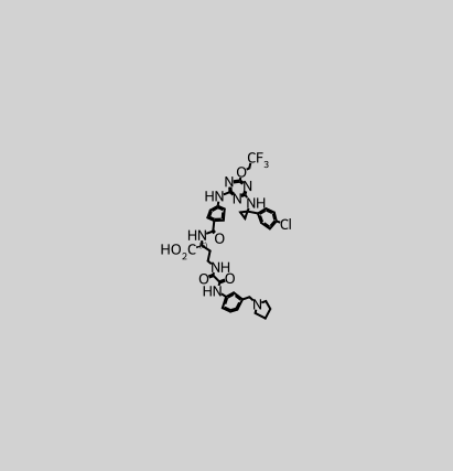 O=C(NCC[C@H](NC(=O)c1ccc(Nc2nc(NC3(c4ccc(Cl)cc4)CC3)nc(OCC(F)(F)F)n2)cc1)C(=O)O)C(=O)Nc1cccc(CN2CCCC2)c1